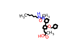 CCCCCCCNC(=O)N(C)c1cccc(-c2ccc(/C=C(\C)C(=O)O)cc2OCc2ccccc2)c1